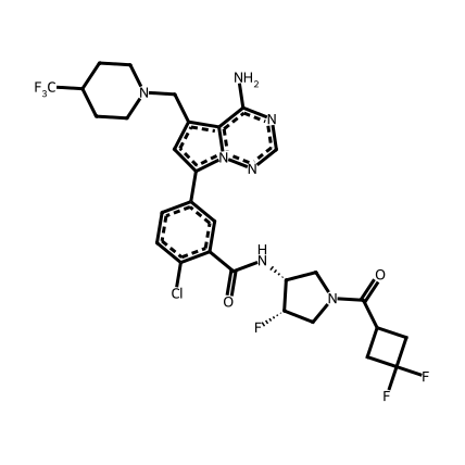 Nc1ncnn2c(-c3ccc(Cl)c(C(=O)N[C@@H]4CN(C(=O)C5CC(F)(F)C5)C[C@@H]4F)c3)cc(CN3CCC(C(F)(F)F)CC3)c12